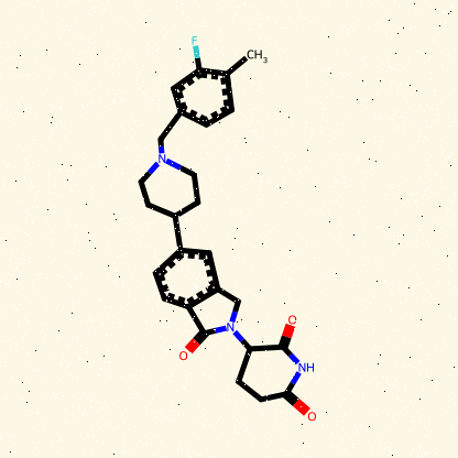 Cc1ccc(CN2CCC(c3ccc4c(c3)CN(C3CCC(=O)NC3=O)C4=O)CC2)cc1F